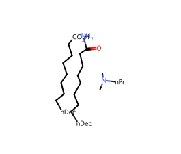 CCCCCCCCCCCCCCCCCC(=O)O.CCCCCCCCCCCCCCCCCC(N)=O.CCCN(C)C